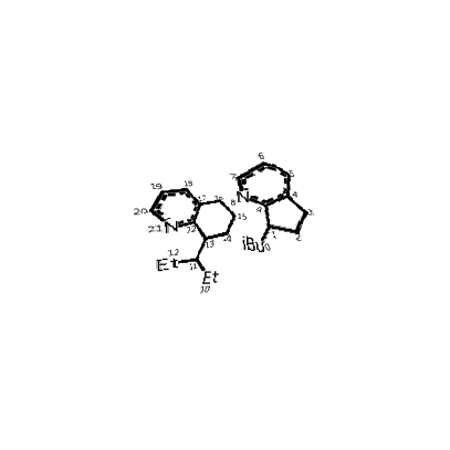 CCC(C)C1CCc2cccnc21.CCC(CC)C1CCCc2cccnc21